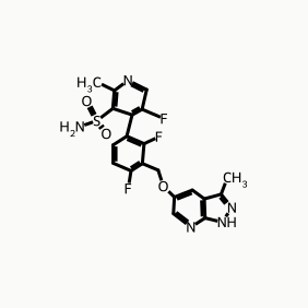 Cc1ncc(F)c(-c2ccc(F)c(COc3cnc4[nH]nc(C)c4c3)c2F)c1S(N)(=O)=O